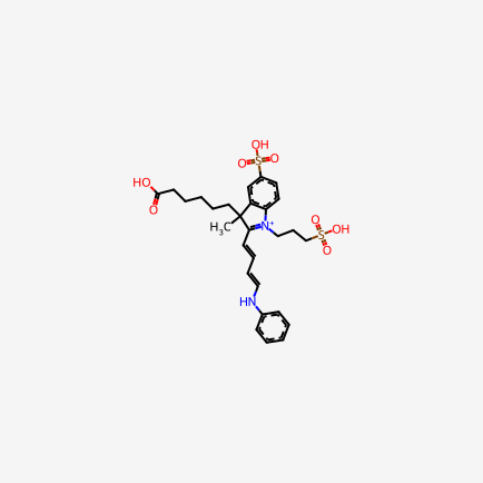 CC1(CCCCCC(=O)O)C(/C=C/C=C/Nc2ccccc2)=[N+](CCCS(=O)(=O)O)c2ccc(S(=O)(=O)O)cc21